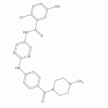 CN1CCN(C(=O)c2ccc(Nc3ncc(NC(=O)c4cc(O)ccc4Cl)cn3)cc2)CC1